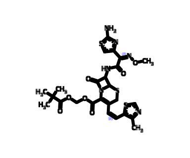 CO/N=C(\C(=O)NC1C(=O)N2C(C(=O)OCOC(=O)C(C)(C)C)=C(/C=C\c3scnc3C)CSC12)c1csc(N)n1